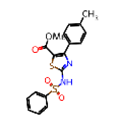 COC(=O)c1sc(NS(=O)(=O)c2ccccc2)nc1-c1ccc(C)cc1